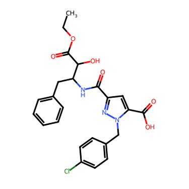 CCOC(=O)C(O)C(Cc1ccccc1)NC(=O)c1cc(C(=O)O)n(Cc2ccc(Cl)cc2)n1